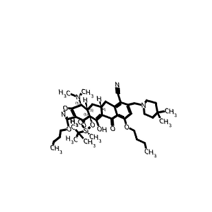 CCCCOc1cc(CN2CCC(C)(C)CC2)c(C#N)c2c1C(=O)C1=C(O)[C@]3(O[Si](C)(C)C(C)(C)C)C(=O)c4c(OCCCC)noc4[C@@H](N(C)C)[C@@H]3C[C@@H]1C2